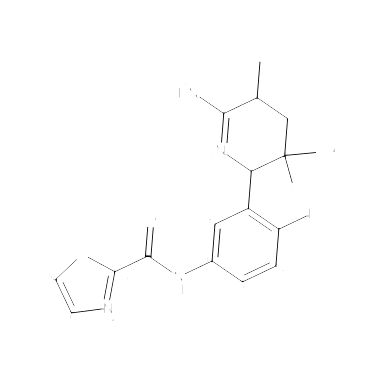 CC1CC(F)(F)C(c2cc(NC(=O)c3nccs3)ccc2F)N=C1N